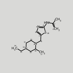 C=C(C)Nc1ncc(CN2CCN(CC)CC2C)s1